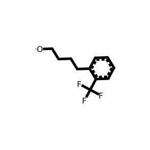 [O]CCCCc1ccccc1C(F)(F)F